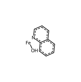 [OH][Fe].c1ccc2ncccc2c1